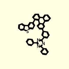 c1ccc(-c2nc(-c3ccccc3)nc(-c3cccc(-c4ccc5c(c4)c4ccccc4c4cccc(-c6ccc7sc8ccccc8c7c6)c45)c3)n2)cc1